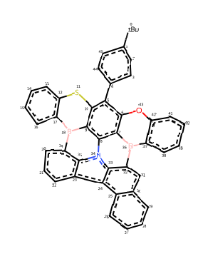 CC(C)(C)c1ccc(-c2c3c4c5c6c2Sc2ccccc2B6c2cccc6c7c8ccccc8cc(c7n-5c26)B4c2ccccc2O3)cc1